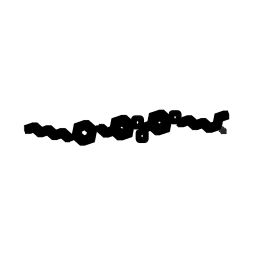 CCCCCCC[C@H]1CC[C@H](CCc2ccc(OC(=O)c3ccc(OCCCCC[C@@H](C)CC)cc3)cc2)CC1